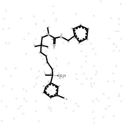 CN(CC(C)(C)CCCC[C@@](C)(C(=O)O)c1cccc(I)c1)C(=O)OCc1ccccc1